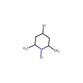 CCC1CC(C)N(CC)C(C)C1